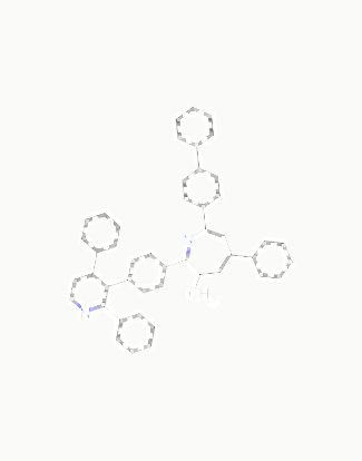 CC1C=C(c2ccccc2)C=C(c2ccc(-c3ccccc3)cc2)N=C1c1ccc(-c2c(-c3ccccc3)ccnc2-c2ccccc2)cc1